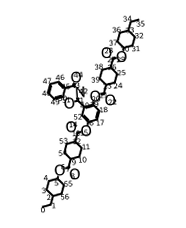 CCC1CCC(OC(=O)C2CCC(C(=O)Oc3ccc(OC(=O)C4CCC(C(=O)OC5CCC(CC)CC5)CC4)c(-c4nc(=O)c5ccccc5o4)c3)CC2)CC1